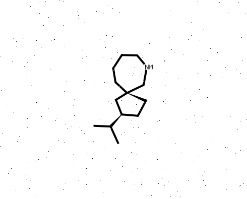 CC(C)[C@@H]1CC[C@]2(CCCCNC2)C1